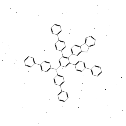 c1ccc(-c2ccc(-c3cc(N(c4ccc(-c5ccccc5)cc4)c4ccc(-c5ccccc5)cc4)cc(-c4ccc(-c5ccccc5)cc4)c3-c3ccc4c(c3)oc3ccccc34)cc2)cc1